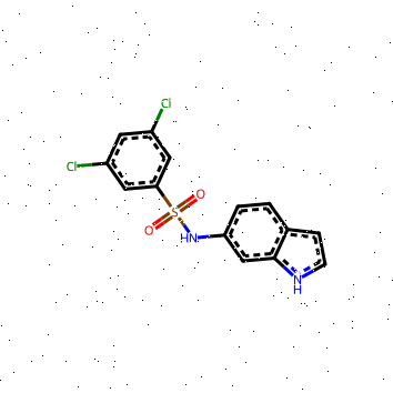 O=S(=O)(Nc1ccc2cc[nH]c2c1)c1cc(Cl)cc(Cl)c1